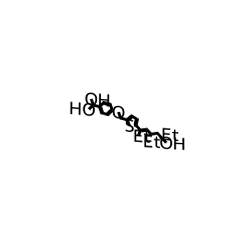 CCC(=CCCC(O)(CC)CC)c1ccc(COc2ccc(C(O)O)cc2)s1